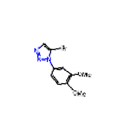 COc1ccc(-n2nncc2C(C)C)cc1OC